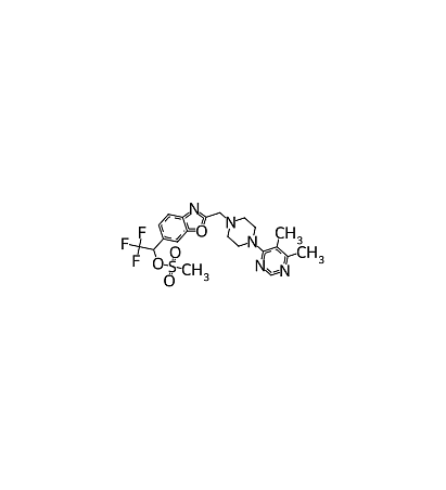 Cc1ncnc(N2CCN(Cc3nc4ccc(C(OS(C)(=O)=O)C(F)(F)F)cc4o3)CC2)c1C